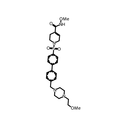 COCCN1CCN(Cc2ccc(-c3ccc(S(=O)(=O)N4CC=C(C(=O)NOC)CC4)cc3)cc2)CC1